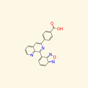 O=C(O)c1ccc(-c2cc3cccnc3c(-c3cccc4nonc34)n2)cc1